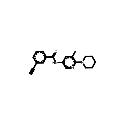 C#Cc1cccc(C(=O)Nc2cnc(N3CCCCC3)c(C)c2)c1